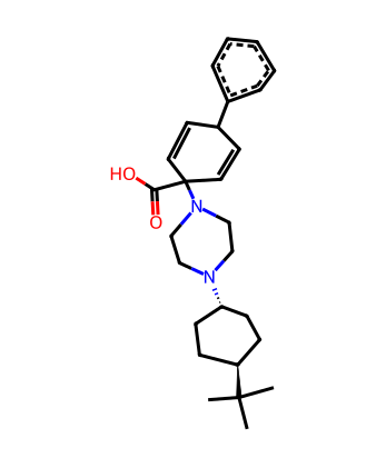 CC(C)(C)[C@H]1CC[C@H](N2CCN(C3(C(=O)O)C=CC(c4ccccc4)C=C3)CC2)CC1